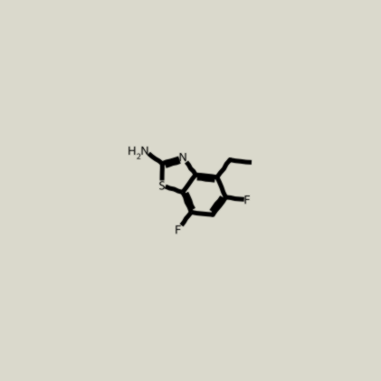 CCc1c(F)cc(F)c2sc(N)nc12